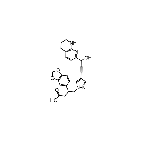 O=C(O)CC(Cn1cc(C#CC(O)c2ccc3c(n2)NCCC3)cn1)c1ccc2c(c1)OCO2